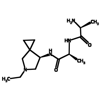 CCN1C[C@H](NC(=O)[C@H](C)NC(=O)[C@H](C)N)C2(CC2)C1